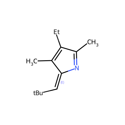 CCC1=C(C)/C(=C\C(C)(C)C)N=C1C